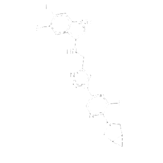 Fc1cc2[nH]cc(NCc3cn(-c4cnc(N5CC6CC6C5)c(F)c4)nn3)c2cc1F